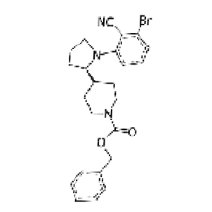 N#Cc1c(Br)cccc1N1CCC[C@@H]1C1CCN(C(=O)OCc2ccccc2)CC1